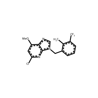 COc1cc(Cl)nc2c1ncn2Cc1cccc(C(F)(F)F)c1C